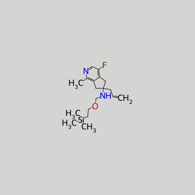 C=CCC1(NCOCC[Si](C)(C)C)Cc2c(F)cnc(C)c2C1